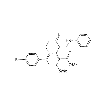 COC(=O)c1c(SC)cc(-c2ccc(Br)cc2)c2c1/C(=C/Nc1ccccc1)C(=N)CC2